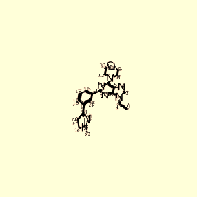 CCn1cnc2c(N3CCOCC3)nc(-c3cccc(C4=NN(C)CC4)c3)nc21